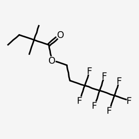 CCC(C)(C)C(=O)OCCC(F)(F)C(F)(F)C(F)(F)F